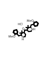 COc1ccccc1CC1NCCC(C(=O)C2CCNC(Cc3ccccc3OC)C2(C)C)C1(C)C.Cl